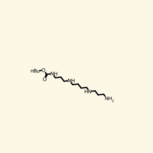 CCCCOC(=O)NCCCNCCCCNCCCN